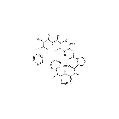 CC[C@H](C)[C@@H]([C@@H](CC(=O)N1CCC[C@H]1[C@H](OC)[C@@H](C)C(=O)NC(C(=O)O)C(C)c1ccccc1)OC)N(C)C(=O)[C@@H](NC(=O)[C@H](C(C)C)N(C)Cc1ccncc1)C(C)C